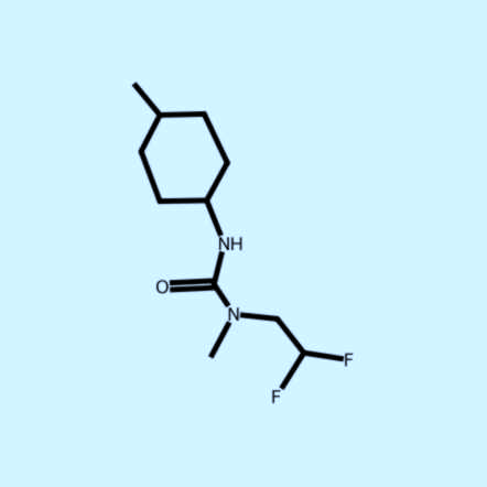 CC1CCC(NC(=O)N(C)CC(F)F)CC1